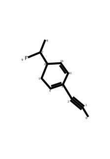 CC#CC1=CCC(C(C)F)C=C1